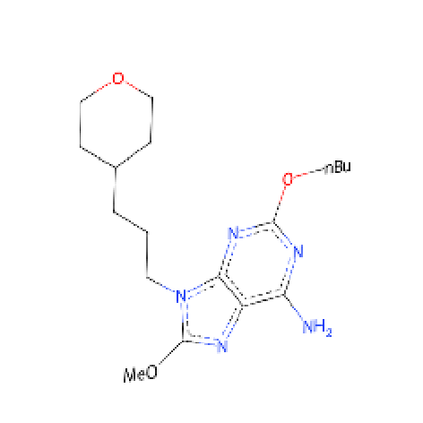 CCCCOc1nc(N)c2nc(OC)n(CCCC3CCOCC3)c2n1